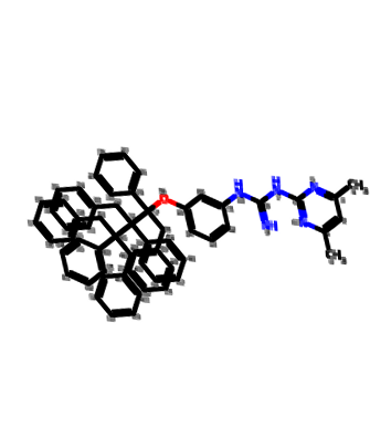 Cc1cc(C)nc(NC(=N)Nc2cccc(OC(Cc3ccccc3)(c3ccccc3)C(Cc3ccccc3)(c3ccccc3)C(Cc3ccccc3)(Cc3ccccc3)c3ccccc3)c2)n1